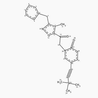 Cc1c(Cc2ccccc2)noc1C(=O)Cn1cc(C#C[Si](C)(C)C)ccc1=O